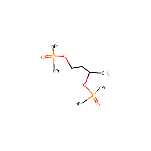 CCCP(=O)(CCC)OCCC(C)OP(=O)(CCC)CCC